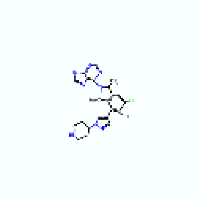 COc1c(C(C)Nc2ncnc3[nH]cnc23)cc(Cl)c(C)c1-c1cnn(C2CCNCC2)c1